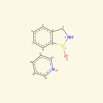 [O-][S+]1NCc2ccccc21.c1ccncc1